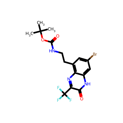 CC(C)(C)OC(=O)NCCc1cc(Br)cc2[nH]c(=O)c(C(F)(F)F)nc12